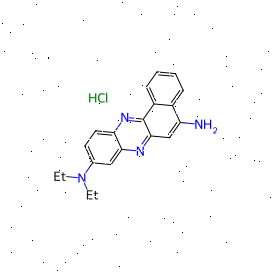 CCN(CC)c1ccc2nc3c(cc(N)c4ccccc43)nc2c1.Cl